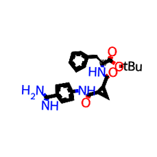 CC(C)(C)OC(=O)[C@H](Cc1ccccc1)NC(=O)C1CC1C(=O)Nc1ccc(C(=N)N)cc1